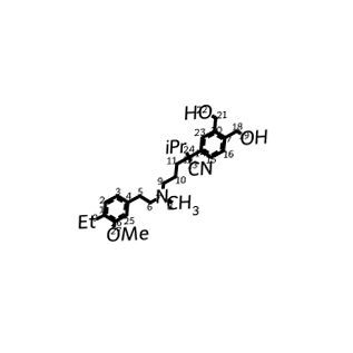 CCc1ccc(CCN(C)CCCC(C#N)(c2ccc(CO)c(CO)c2)C(C)C)cc1OC